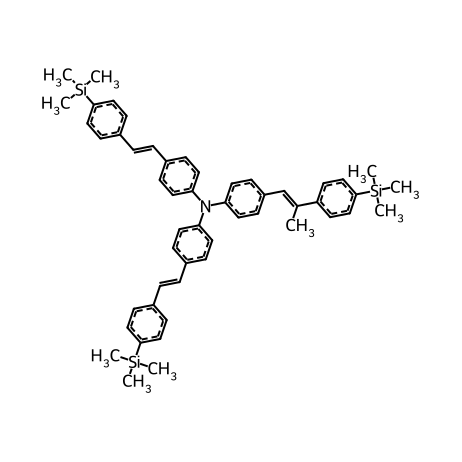 C/C(=C\c1ccc(N(c2ccc(/C=C/c3ccc([Si](C)(C)C)cc3)cc2)c2ccc(/C=C/c3ccc([Si](C)(C)C)cc3)cc2)cc1)c1ccc([Si](C)(C)C)cc1